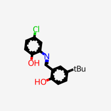 CC(C)(C)c1ccc(O)c(/C=N/c2cc(Cl)ccc2O)c1